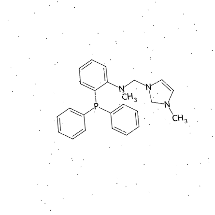 CN1C=CN(CN(C)c2ccccc2P(c2ccccc2)c2ccccc2)C1